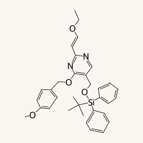 CCOC=Cc1ncc(CO[Si](c2ccccc2)(c2ccccc2)C(C)(C)C)c(OCc2ccc(OC)cc2)n1